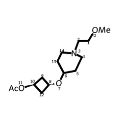 COCCN1CCC(O[C@H]2C[C@H](OC(C)=O)C2)CC1